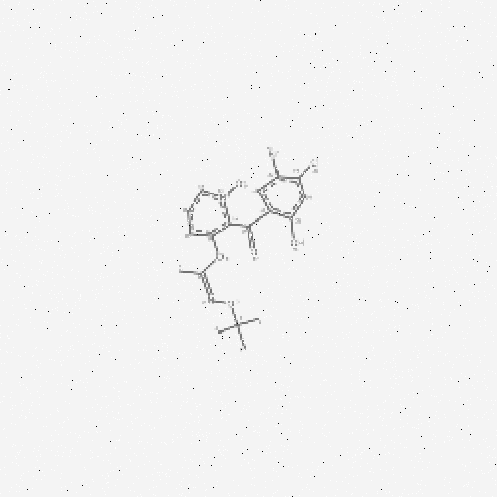 C/C(=N/OC(C)(C)C)Oc1ccc[n+]([O-])c1C(=O)c1cc(Br)c(Cl)cc1O